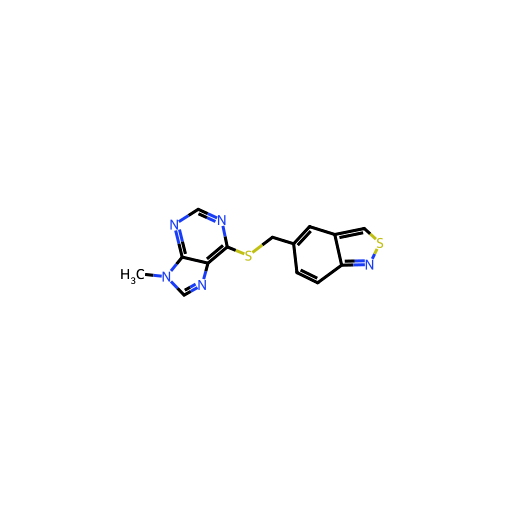 Cn1cnc2c(SCc3ccc4nscc4c3)ncnc21